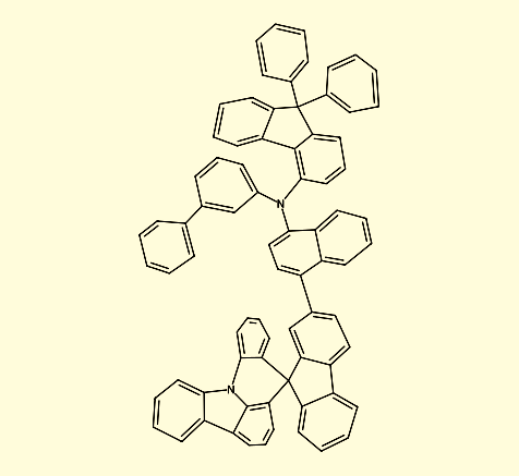 c1ccc(-c2cccc(N(c3cccc4c3-c3ccccc3C4(c3ccccc3)c3ccccc3)c3ccc(-c4ccc5c(c4)C4(c6ccccc6-5)c5ccccc5-n5c6ccccc6c6cccc4c65)c4ccccc34)c2)cc1